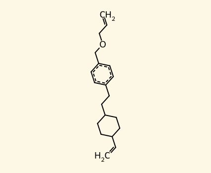 C=CCOCc1ccc(CCC2CCC(C=C)CC2)cc1